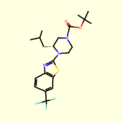 CC(C)C[C@@H]1CN(C(=O)OC(C)(C)C)CCN1c1nc2ccc(C(F)(F)F)cc2s1